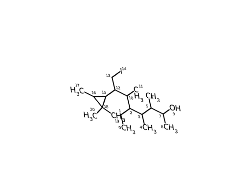 CCC(C(C)C(C)C(C)O)C(C)C(CI)C1C(C)C1(C)C